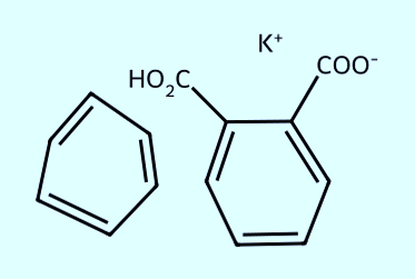 O=C([O-])c1ccccc1C(=O)O.[K+].c1ccccc1